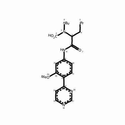 CCCCN(C(=O)O)C(CC(C)C)C(=O)Nc1ccc(-c2ccncn2)c(OC)c1